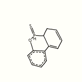 S=[PH]1Oc2ccccc2C2=CC=CCC21